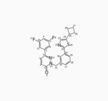 O=c1ccc(-c2cc(F)cc(F)c2)nn1Cc1cccc(-c2ncc(C3CCC3)s2)c1